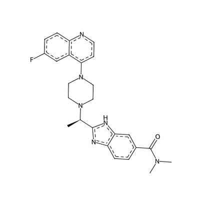 C[C@H](c1nc2ccc(C(=O)N(C)C)cc2[nH]1)N1CCN(c2ccnc3ccc(F)cc23)CC1